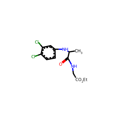 CCOC(=O)CNC(=O)C(C)Nc1ccc(Cl)c(Cl)c1